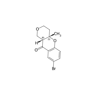 C[C@]12CCOC[C@H]1C(=O)c1cc(Br)ccc1O2